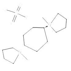 C[N+]1([C@H]2CC[C@H]([N+]3(C)CCCC3)CC2)CCCC1.O=S(=O)([O-])[O-]